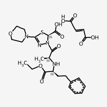 CCOC(=O)[C@H](CCc1ccccc1)N[C@@H](C)C(=O)N1N=C(N2CCOCC2)S[C@H]1C(=O)O.O=C(O)C=CC(=O)O